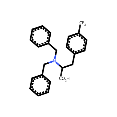 O=C(O)C(Cc1ccc(C(F)(F)F)cc1)N(Cc1ccccc1)Cc1ccccc1